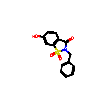 O=C1c2ccc(O)cc2S(=O)(=O)N1Cc1ccccc1